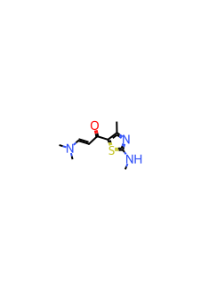 CNc1nc(C)c(C(=O)C=CN(C)C)s1